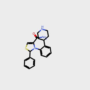 NC(=O)C1=CSC(c2ccccc2)N1c1ccccc1C1CCNCC1